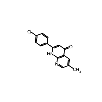 Cc1cnc2[nH]c(-c3ccc(Cl)cc3)cc(=O)c2c1